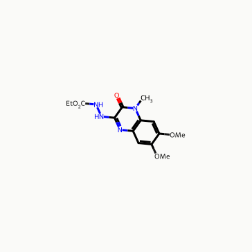 CCOC(=O)NNc1nc2cc(OC)c(OC)cc2n(C)c1=O